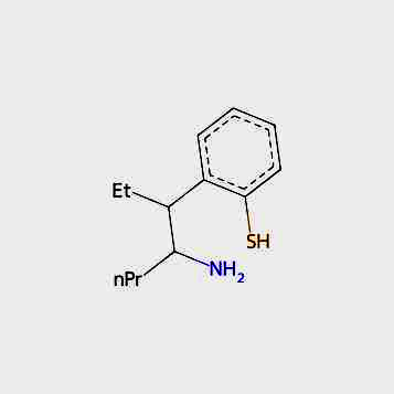 CCCC(N)C(CC)c1ccccc1S